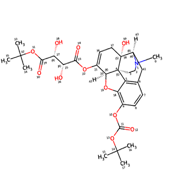 CN1CC[C@]23c4c5ccc(OC(=O)OC(C)(C)C)c4O[C@H]2C(OC(=O)[C@H](O)[C@@H](O)C(=O)OC(C)(C)C)=CC[C@@]3(O)[C@H]1C5